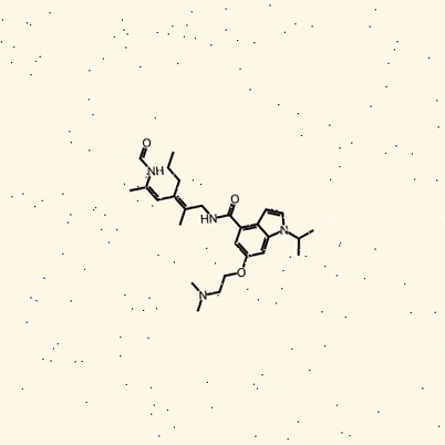 CCCC(/C=C(/C)NC=O)=C(/C)CNC(=O)c1cc(OCCN(C)C)cc2c1ccn2C(C)C